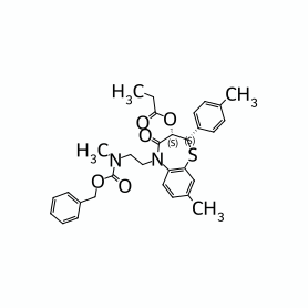 CCC(=O)O[C@H]1C(=O)N(CCN(C)C(=O)OCc2ccccc2)c2ccc(C)cc2S[C@H]1c1ccc(C)cc1